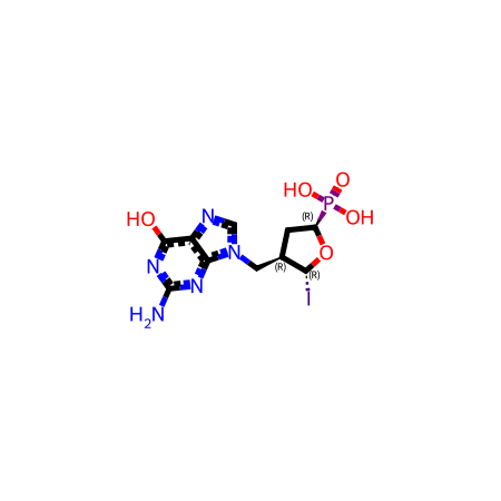 Nc1nc(O)c2ncn(C[C@H]3C[C@@H](P(=O)(O)O)O[C@@H]3I)c2n1